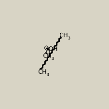 CCCCCCCCCCCCCCCCCCCC.CCOC(=O)O